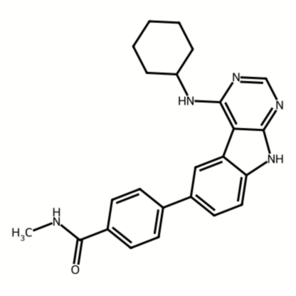 CNC(=O)c1ccc(-c2ccc3[nH]c4ncnc(NC5CCCCC5)c4c3c2)cc1